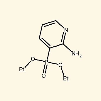 CCOP(=O)(OCC)c1cccnc1N